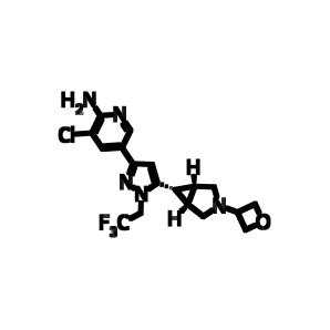 Nc1ncc(-c2cc([C@@H]3[C@@H]4CN(C5COC5)C[C@@H]43)n(CC(F)(F)F)n2)cc1Cl